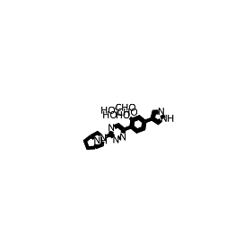 O=CO.O=CO.Oc1cc(-c2cn[nH]c2)ccc1-c1cnc(N2CC3CCC(C2)N3)nn1